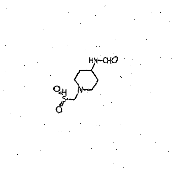 O=CNC1CCN(C[SH](=O)=O)CC1